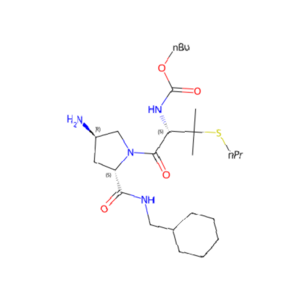 CCCCOC(=O)N[C@@H](C(=O)N1C[C@H](N)C[C@H]1C(=O)NCC1CCCCC1)C(C)(C)SCCC